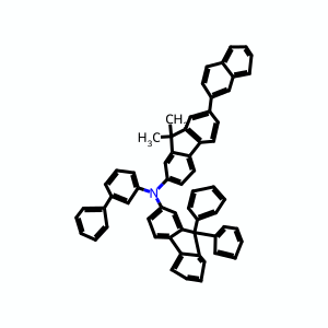 CC1(C)c2cc(-c3ccc4ccccc4c3)ccc2-c2ccc(N(c3cccc(-c4ccccc4)c3)c3ccc4c(c3)C(c3ccccc3)(c3ccccc3)c3ccccc3-4)cc21